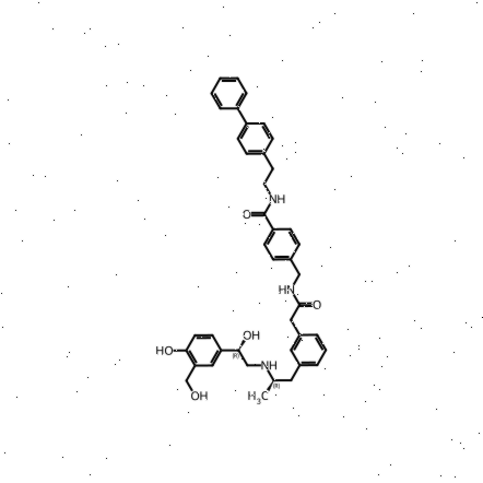 C[C@H](Cc1cccc(CC(=O)NCc2ccc(C(=O)NCCc3ccc(-c4ccccc4)cc3)cc2)c1)NC[C@H](O)c1ccc(O)c(CO)c1